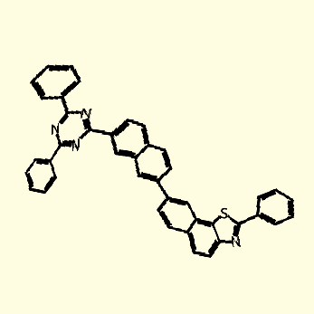 c1ccc(-c2nc(-c3ccccc3)nc(-c3ccc4ccc(-c5ccc6ccc7nc(-c8ccccc8)sc7c6c5)cc4c3)n2)cc1